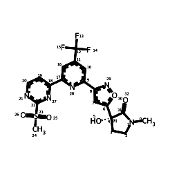 CN1CC[C@@](O)(c2cc(-c3cc(C(F)(F)F)cc(-c4ccnc(S(C)(=O)=O)n4)n3)no2)C1=O